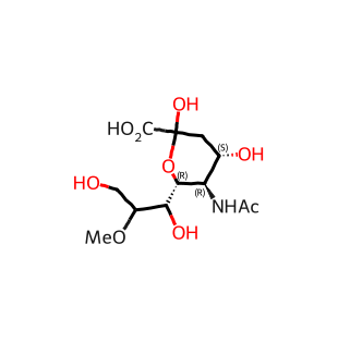 COC(CO)C(O)[C@@H]1OC(O)(C(=O)O)C[C@H](O)[C@H]1NC(C)=O